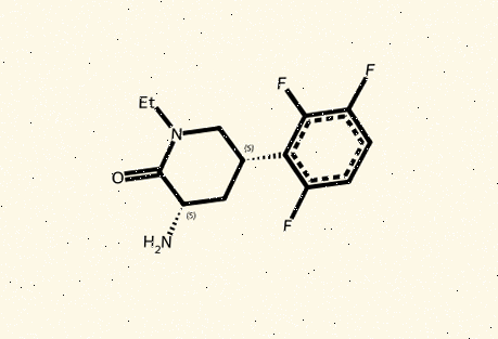 CCN1C[C@H](c2c(F)ccc(F)c2F)C[C@H](N)C1=O